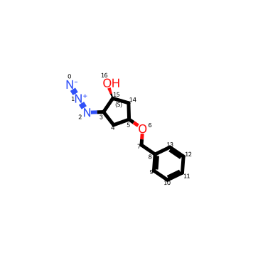 [N-]=[N+]=NC1CC(OCc2ccccc2)C[C@@H]1O